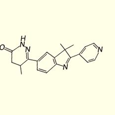 CC1CC(=O)NN=C1c1ccc2c(c1)C(C)(C)C(c1ccncc1)=N2